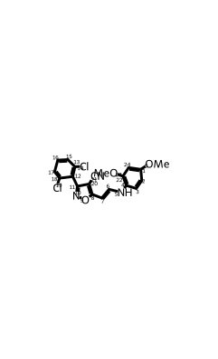 COc1ccc(NC=Cc2onc(-c3c(Cl)cccc3Cl)c2C#N)c(OC)c1